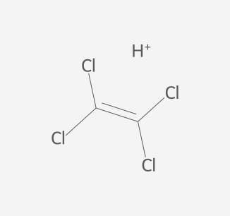 ClC(Cl)=C(Cl)Cl.[H+]